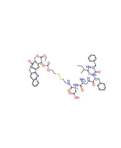 CCC(C)C(=O)N[C@@H](Cc1ccccc1)C(=O)N[C@@H](Cc1ccccc1)C(=O)NC[C@H](N)C(=O)N[C@@H](CC(=O)O)C(=O)NCCSSCCOC(=O)O[C@]1(CC)C(=O)OCc2c1cc1n(c2=O)Cc2cc3ccccc3nc2-1